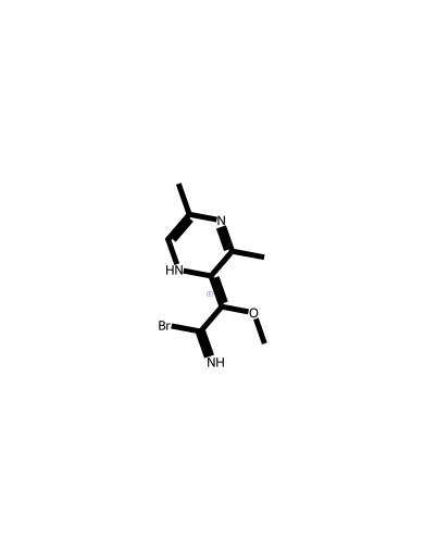 CO/C(C(=N)Br)=C1/NC=C(C)N=C1C